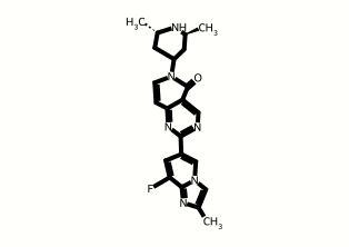 Cc1cn2cc(-c3ncc4c(=O)n(C5C[C@H](C)N[C@@H](C)C5)ccc4n3)cc(F)c2n1